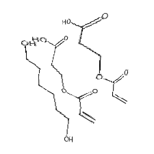 C=CC(=O)OCCC(=O)O.C=CC(=O)OCCC(=O)O.OCCCCCCO